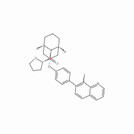 Cc1c(-c2ccc(O[C@H]3C[C@H]4CCC[C@@H](C3)N4C(=O)[C@H]3CCCO3)cc2)ccc2cccnc12